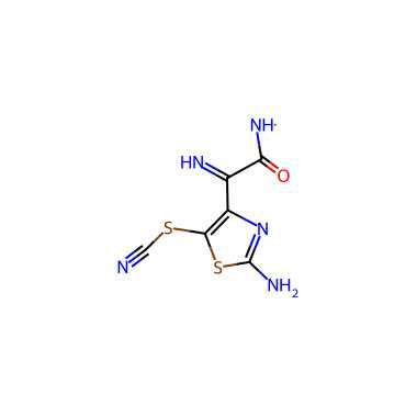 N#CSc1sc(N)nc1C(=N)C([NH])=O